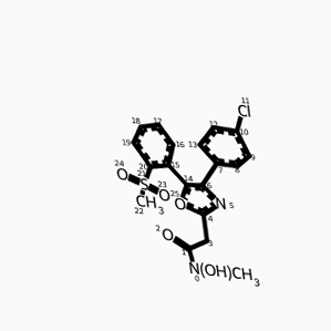 CN(O)C(=O)Cc1nc(-c2ccc(Cl)cc2)c(-c2ccccc2S(C)(=O)=O)o1